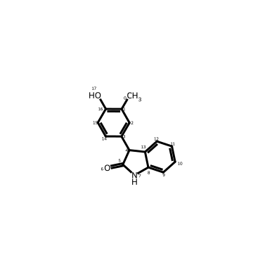 Cc1cc(C2C(=O)Nc3ccccc32)ccc1O